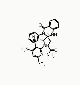 CC(Nc1nc(N)nc(N)c1C#N)[C@@]1(CCC(N)=O)Nc2ccccc2C(=O)N1c1ccccc1